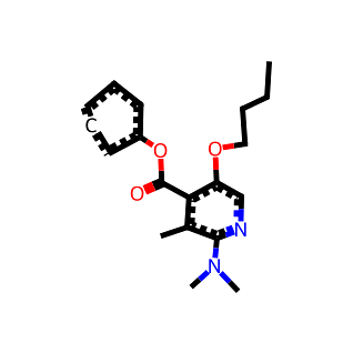 CCCCOc1cnc(N(C)C)c(C)c1C(=O)Oc1ccccc1